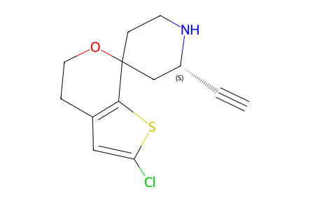 C#C[C@@H]1CC2(CCN1)OCCc1cc(Cl)sc12